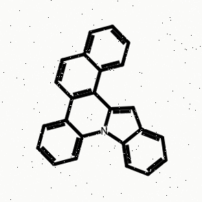 c1ccc2c(c1)ccc1c3ccccc3n3c4ccccc4cc3c21